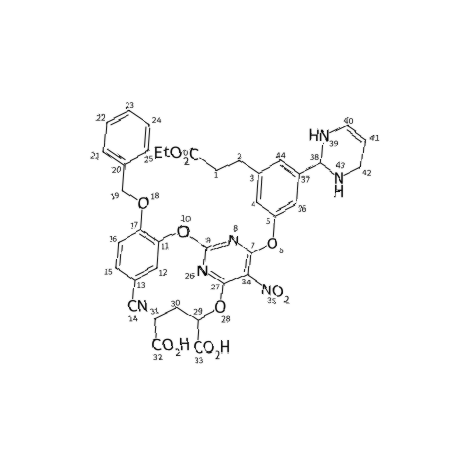 CCOC(=O)CCc1cc(Oc2nc(Oc3cc(C#N)ccc3OCc3ccccc3)nc(OC(CCC(=O)O)C(=O)O)c2[N+](=O)[O-])cc(C2NC=CCN2)c1